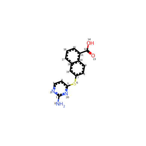 Nc1nccc(Sc2ccc3c(C(=O)O)cccc3c2)n1